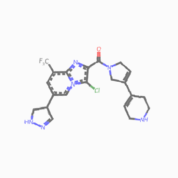 O=C(c1nc2c(C(F)(F)F)cc(C3C=NNC3)cn2c1Cl)N1CC=C(C2=CCNCC2)C1